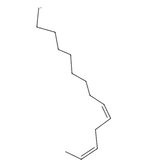 [CH2]CCCCCCC/C=C\C/C=C\C